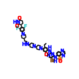 CCc1cc(Nc2ncc(Br)c(Nc3ccc4nccnc4c3P(C)(C)=O)n2)c(OC)cc1N1CCC(N2CCC(NCCC3CCN(c4cc(F)c(C5CCC(=O)NC5=O)c(F)c4)CC3)CC2)CC1